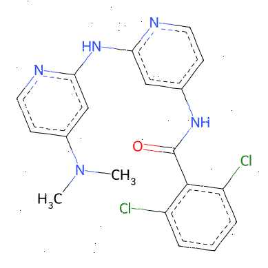 CN(C)c1ccnc(Nc2cc(NC(=O)c3c(Cl)cccc3Cl)ccn2)c1